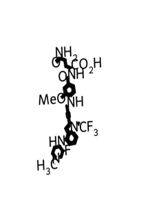 COc1cc(C(=O)N[C@@H](CCC(N)=O)C(=O)O)ccc1NCC#Cc1cc2c(N[C@@H]3CCN(C)C[C@@H]3F)cccc2n1CC(F)(F)F